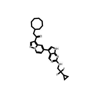 O=C(CC1CCCCCCC1)c1cnn2ccc(-c3c[nH]c4nc(NCC(F)(F)C5CC5)ncc34)cc12